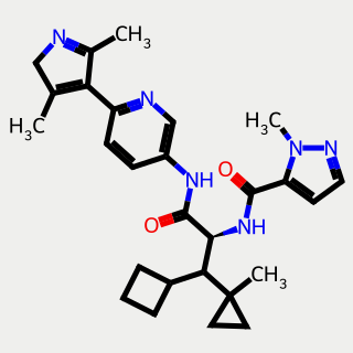 CC1=NCC(C)=C1c1ccc(NC(=O)[C@@H](NC(=O)c2ccnn2C)C(C2CCC2)C2(C)CC2)cn1